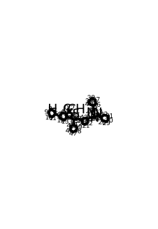 CC1(C)c2cc(-c3ccccc3)ccc2-c2c1sc(-c1cccc(-c3nc(-c4ccccc4)nc(-c4ccccc4)n3)c1)c2-c1ccccc1